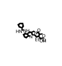 CCC1(O)C(=O)OCc2c1cc1n(c2=O)Cc2cc3c(NC(=N)c4ccccc4)cccc3nc2-1